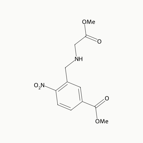 COC(=O)CNCc1cc(C(=O)OC)ccc1[N+](=O)[O-]